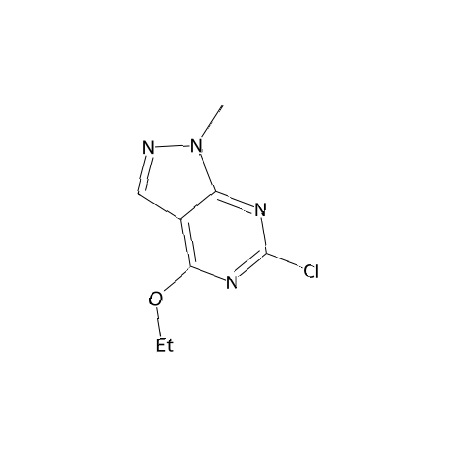 CCOc1nc(Cl)nc2c1cnn2C